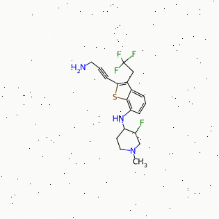 CN1CCC(Nc2cccc3c(CC(F)(F)F)c(C#CCN)sc23)C(F)C1